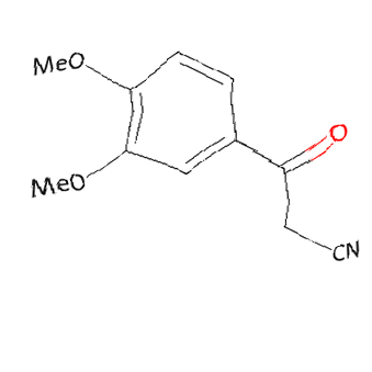 COc1ccc(C(=O)CC#N)cc1OC